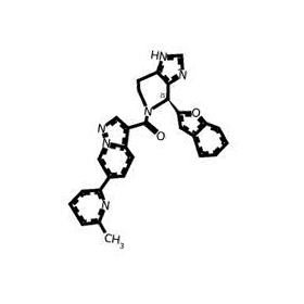 Cc1cccc(-c2ccc3c(C(=O)N4CCc5[nH]cnc5[C@H]4c4cc5ccccc5o4)cnn3c2)n1